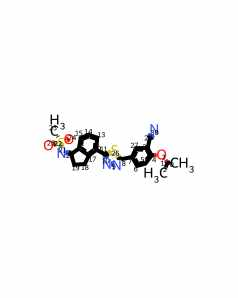 CC(C)Oc1ccc(-c2nnc(-c3cccc4c3CC/C4=N/S(C)(=O)=O)s2)cc1C#N